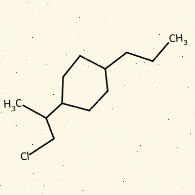 CCCC1CCC(C(C)CCl)CC1